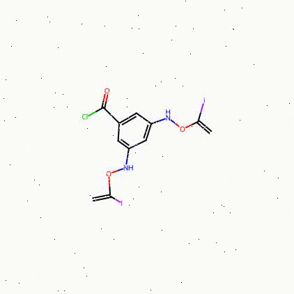 C=C(I)ONc1cc(NOC(=C)I)cc(C(=O)Cl)c1